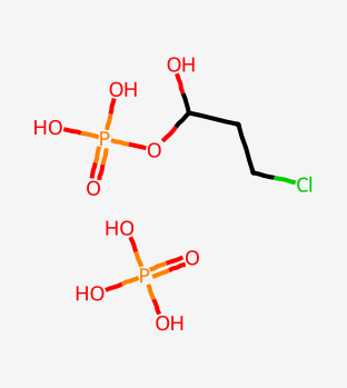 O=P(O)(O)O.O=P(O)(O)OC(O)CCCl